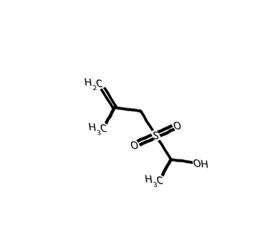 C=C(C)CS(=O)(=O)C(C)O